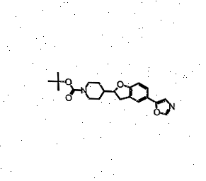 CC(C)(C)OC(=O)N1CCC(C2Cc3cc(-c4cnco4)ccc3O2)CC1